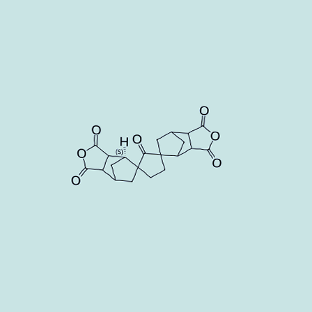 O=C1OC(=O)C2C1C1CC2C2(CCC3(CC4C[C@H]3C3C(=O)OC(=O)C43)C2=O)C1